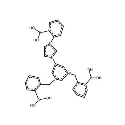 OB(O)c1ccccc1C[n+]1cc(-n2cc[n+](-c3ccccc3B(O)O)c2)c[n+](Cc2ccccc2B(O)O)c1